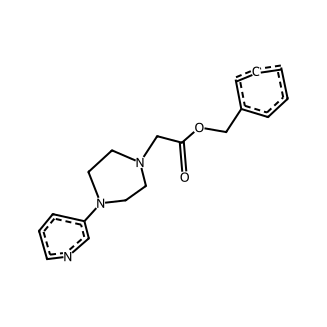 O=C(CN1CCN(c2cccnc2)CC1)OCc1ccccc1